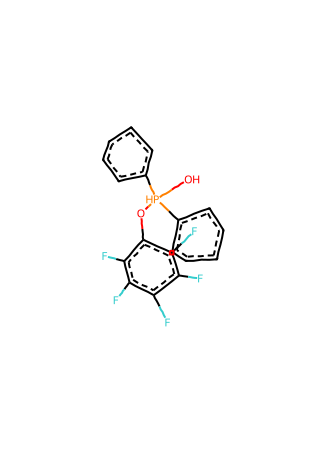 O[PH](Oc1c(F)c(F)c(F)c(F)c1F)(c1ccccc1)c1ccccc1